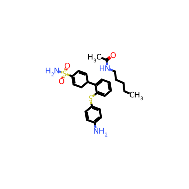 CCCCCNC(C)=O.Nc1ccc(Sc2ccccc2C2C=CC(S(N)(=O)=O)=CC2)cc1